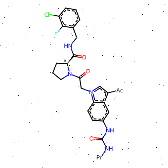 CC(=O)c1cn(CC(=O)N2CCC[C@H]2C(=O)NCc2cccc(Cl)c2F)c2ccc(NC(=O)NC(C)C)cc12